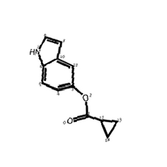 O=C(Oc1ccc2[nH]ccc2c1)C1CC1